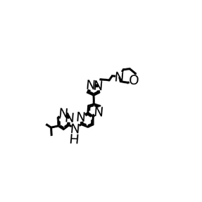 CC(C)c1cnnc(Nc2ccc3ncc(-c4cnn(CCCN5CCCOCC5)c4)cc3n2)c1